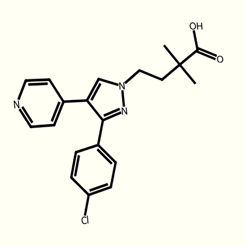 CC(C)(CCn1cc(-c2ccncc2)c(-c2ccc(Cl)cc2)n1)C(=O)O